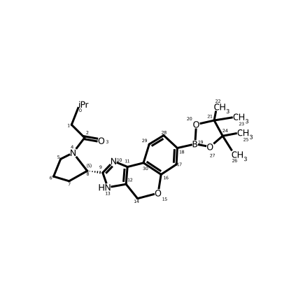 CC(C)CC(=O)N1CCC[C@H]1c1nc2c([nH]1)COc1cc(B3OC(C)(C)C(C)(C)O3)ccc1-2